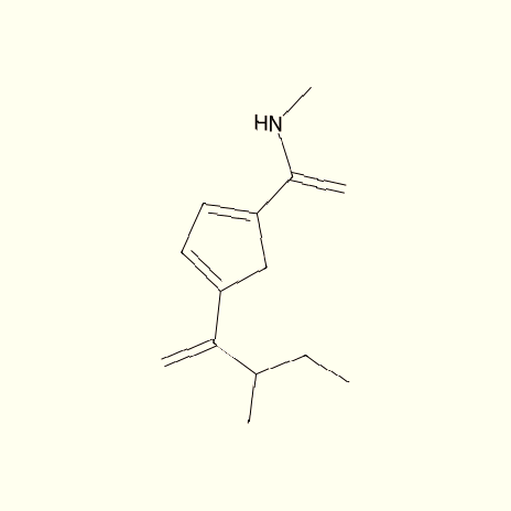 C=C(NC)C1=CC=C(C(=C)C(C)CC)C1